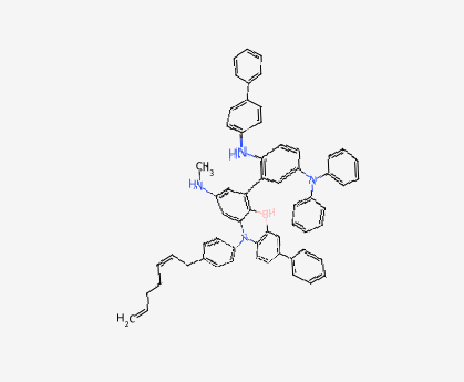 C=CCC/C=C\Cc1ccc(N2c3ccc(-c4ccccc4)cc3Bc3c(-c4cc(N(c5ccccc5)c5ccccc5)ccc4Nc4ccc(-c5ccccc5)cc4)cc(NC)cc32)cc1